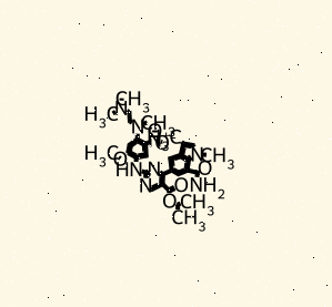 COc1cc(N(C)CCN(C)C)c([N+](=O)[O-])cc1Nc1ncc(C(=O)OC(C)C)c(-c2cc(C(N)=O)c3c(c2)c(C)cn3C)n1